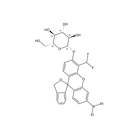 CCN(CC)c1ccc2c(c1)Oc1c(ccc(O[C@@H]3O[C@H](CO)[C@@H](O)[C@H](O)[C@H]3O)c1C(F)F)C21OCc2ccccc21